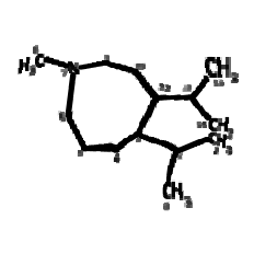 CC(C)C1CCCN(C)CCC1C(C)C